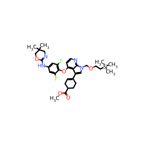 COC(=O)C1CC=C(c2cn(COCC[Si](C)(C)C)c3nccc(Oc4c(F)cc(NC5=NCC(C)(C)CO5)cc4F)c23)CC1